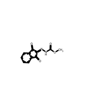 COC(=O)NN=c1c(=O)c2ccccc2c1=O